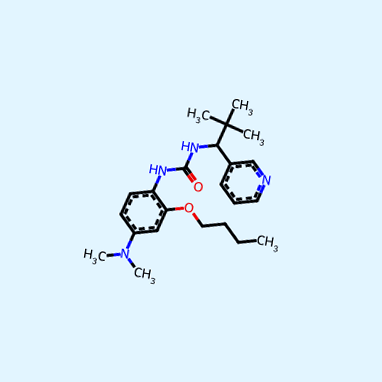 CCCCOc1cc(N(C)C)ccc1NC(=O)NC(c1cccnc1)C(C)(C)C